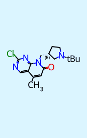 Cc1cc(=O)n(C[C@@H]2CCN(C(C)(C)C)C2)c2nc(Cl)ncc12